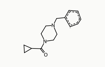 O=C(C1CC1)N1CCN(Cc2[c]cccc2)CC1